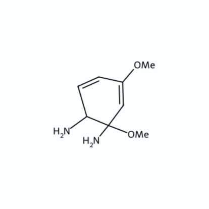 COC1=CC(N)(OC)C(N)C=C1